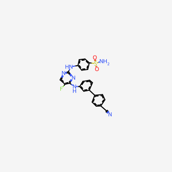 N#Cc1ccc(-c2cccc(Nc3nc(Nc4ccc(S(N)(=O)=O)cc4)ncc3F)c2)cc1